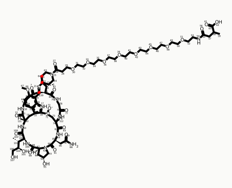 CC[C@H](C)[C@@H]1NC(=O)CCNC(=O)[C@@H]2Cc3c([nH]c4c(CSC5CCN(C(=O)CCOCCOCCOCCOCCOCCOCCOCCOCCNC(=O)CC(C)C(=O)O)CC5)c(OC)ccc34)[S+]([O-])C[C@H](NC(=O)CNC1=O)C(=O)N[C@@H](CC(N)=O)C(=O)N1C[C@H](O)C[C@H]1C(=O)N[C@@H]([C@@H](C)[C@@H](O)CO)C(=O)N2